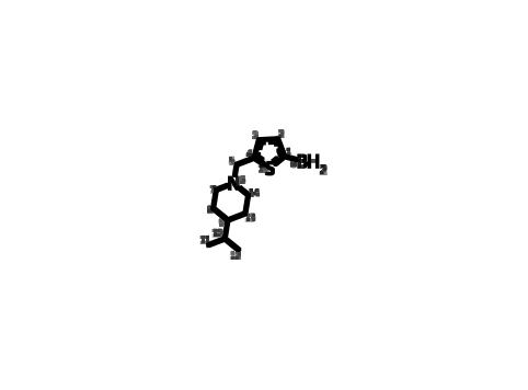 Bc1ccc(CN2CCC(C(C)C)CC2)s1